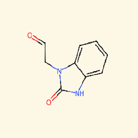 O=CCn1c(=O)[nH]c2ccccc21